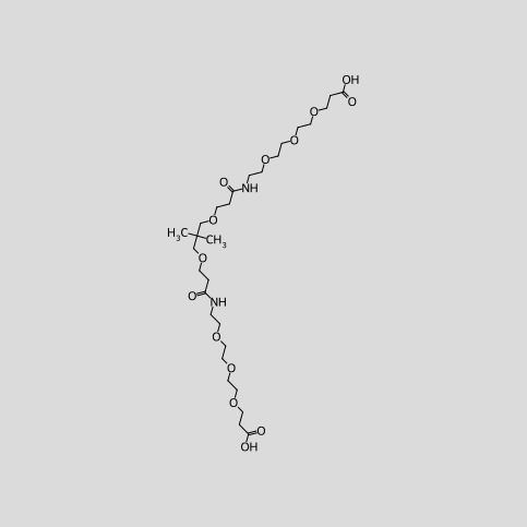 CC(C)(COCCC(=O)NCCOCCOCCOCCC(=O)O)COCCC(=O)NCCOCCOCCOCCC(=O)O